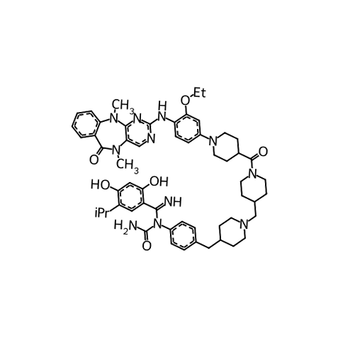 CCOc1cc(N2CCC(C(=O)N3CCC(CN4CCC(Cc5ccc(N(C(=N)c6cc(C(C)C)c(O)cc6O)C(N)=O)cc5)CC4)CC3)CC2)ccc1Nc1ncc2c(n1)N(C)c1ccccc1C(=O)N2C